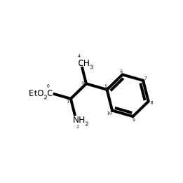 CCOC(=O)C(N)C(C)c1ccccc1